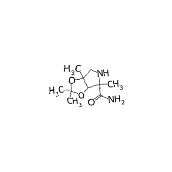 CC1(C)OC2C(C)(CNC2(C)C(N)=O)O1